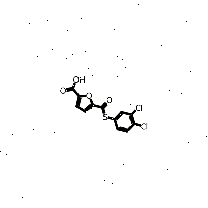 O=C(O)c1ccc(C(=O)Sc2ccc(Cl)c(Cl)c2)o1